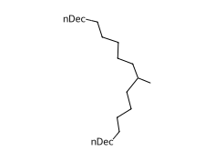 CCCCCCCCCCCCCCCC(C)CCCCCCCCCCCCCC